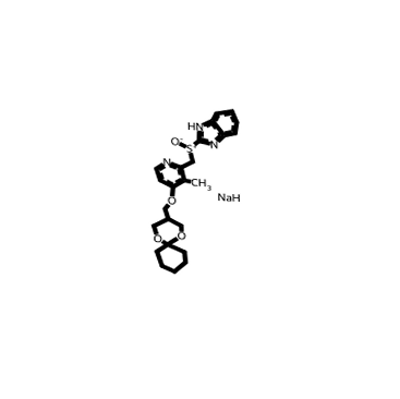 Cc1c(OCC2COC3(CCCCC3)OC2)ccnc1C[S+]([O-])c1nc2ccccc2[nH]1.[NaH]